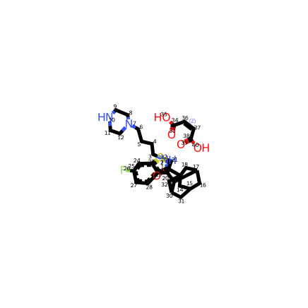 O=C(NCCCCN1CCNCC1)C12CC3CC(C1)C(c1csc4cc(F)ccc14)C(C3)C2.O=C(O)/C=C\C(=O)O